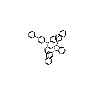 c1ccc(-c2ccc(N3c4ccc(-c5ccccc5)cc4C4(c5cc(-c6ccccc6)ccc53)N(c3ccccc3)c3ccccc3N4c3ccccc3)cc2)cc1